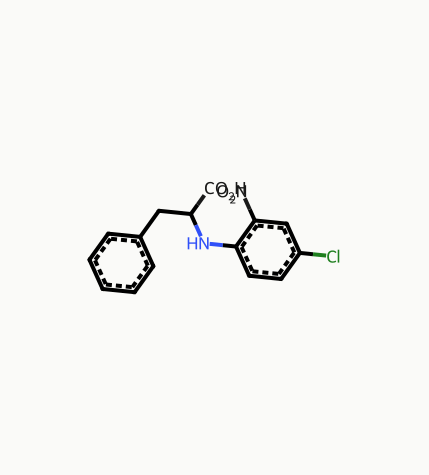 O=C(O)C(Cc1ccccc1)Nc1ccc(Cl)cc1[N+](=O)[O-]